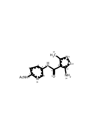 CC(=O)Nc1ccc(NC(=O)c2c(C)nsc2N)cn1